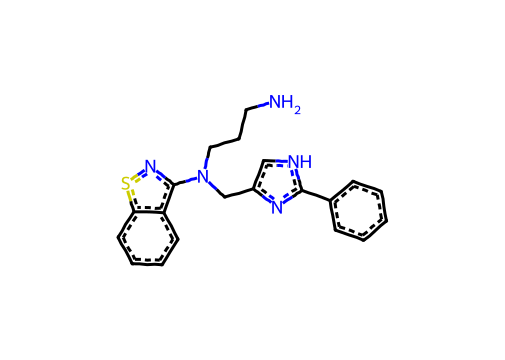 NCCCN(Cc1c[nH]c(-c2ccccc2)n1)c1nsc2ccccc12